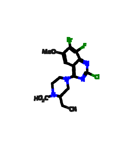 COc1cc2c(N3CCN(C(=O)O)C(CC#N)C3)nc(Cl)nc2c(F)c1Br